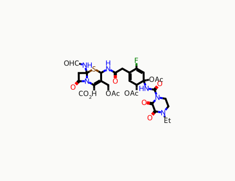 CCN1CCN(C(=O)NC2(OC(C)=O)C=C(F)C(CC(=O)NC3SC4(NC=O)CC(=O)N4C(C(=O)O)=C3COC(C)=O)=CC2OC(C)=O)C(=O)C1=O